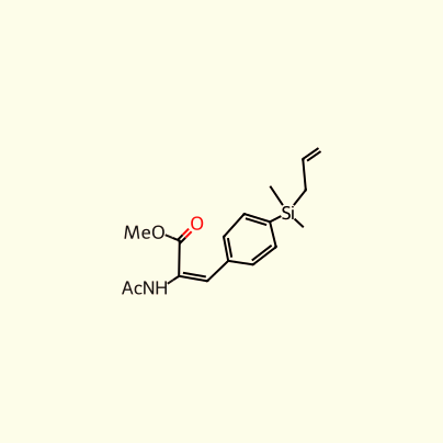 C=CC[Si](C)(C)c1ccc(C=C(NC(C)=O)C(=O)OC)cc1